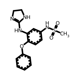 CS(=O)(=O)Nc1ccc(Oc2ccccc2)c(NC2=NCCN2)c1